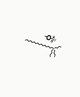 CCCCCCCCCCCCCCCC[P+](CCCC)(CCCC)CCCC.Cc1ccc(S(=O)(=O)[O-])cc1